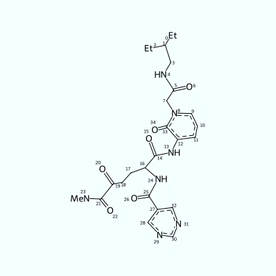 CCC(CC)CNC(=O)Cn1cccc(NC(=O)C(CCC(=O)C(=O)NC)NC(=O)c2cncnc2)c1=O